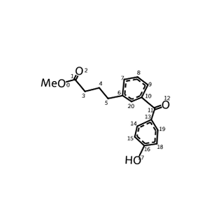 COC(=O)CCCc1cccc(C(=O)c2ccc(O)cc2)c1